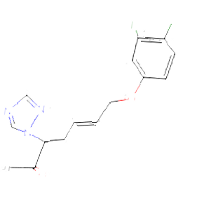 CC(C)(C)C(=O)C(CC=CCOc1ccc(F)c(F)c1)n1cncn1